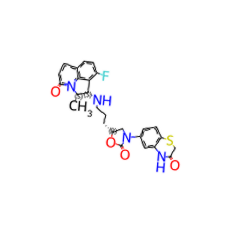 C[C@H]1[C@@H](NCCC[C@@H]2CN(c3ccc4c(c3)NC(=O)CS4)C(=O)O2)c2c(F)ccc3ccc(=O)n1c23